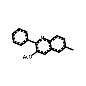 CC(=O)Oc1cc2cc(C)ccc2nc1-c1ccccc1